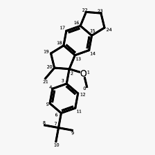 COC1(c2ccc(C(C)(C)C)cc2)c2cc3c(cc2CC1C)CCC3